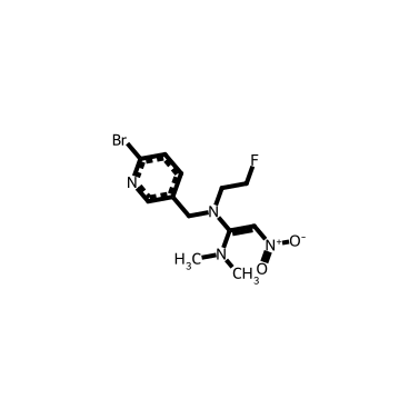 CN(C)C(=C[N+](=O)[O-])N(CCF)Cc1ccc(Br)nc1